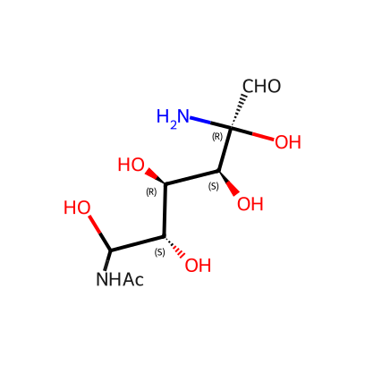 CC(=O)NC(O)[C@@H](O)[C@@H](O)[C@H](O)[C@@](N)(O)C=O